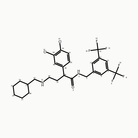 O=C(NCc1cc(C(F)(F)F)cc(C(F)(F)F)c1)C(CCNCC1CCCCC1)c1ccc(Cl)c(Cl)c1